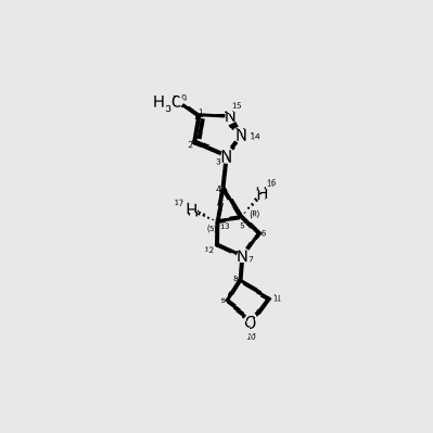 Cc1cn(C2[C@H]3CN(C4COC4)C[C@@H]23)nn1